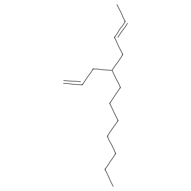 C=CCC(C/C=C/C)CCCCCCC